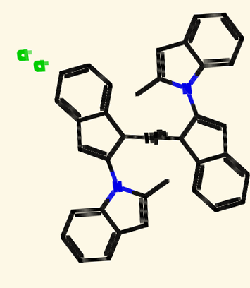 Cc1cc2ccccc2n1C1=Cc2ccccc2[CH]1[Hf+2][CH]1C(n2c(C)cc3ccccc32)=Cc2ccccc21.[Cl-].[Cl-]